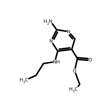 CCCNc1nc(N)ncc1C(=O)OCC